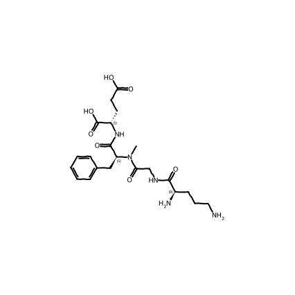 CN(C(=O)CNC(=O)[C@H](N)CCCN)[C@@H](Cc1ccccc1)C(=O)N[C@@H](CCC(=O)O)C(=O)O